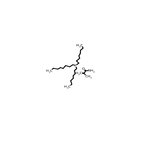 C=C(C)C(N)=O.CCCCCCCCP(CCCCCCCC)CCCCCCCC